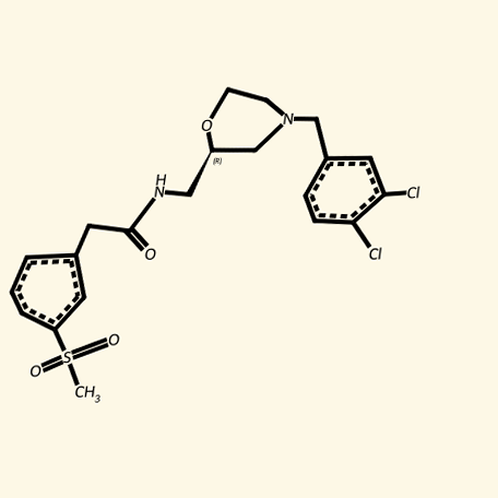 CS(=O)(=O)c1cccc(CC(=O)NC[C@@H]2CN(Cc3ccc(Cl)c(Cl)c3)CCO2)c1